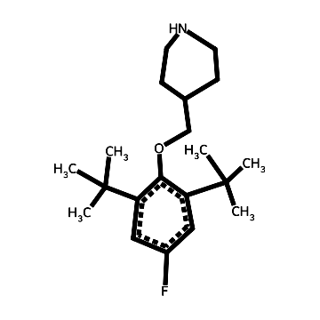 CC(C)(C)c1cc(F)cc(C(C)(C)C)c1OCC1CCNCC1